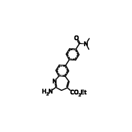 CCOC(=O)C1=Cc2cc(-c3ccc(C(=O)N(C)C)cc3)ccc2N=C(N)C1